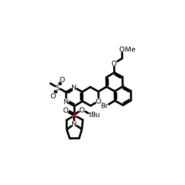 COCOc1cc(C2Cc3nc(S(C)(=O)=O)nc(N4CC5CCC(C4)N5C(=O)OC(C)(C)C)c3CO2)c2c(Br)cccc2c1